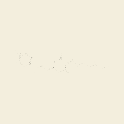 CCONCCCC=C1C(=O)CC(=CCOc2ccc(C)cc2)CC1=O